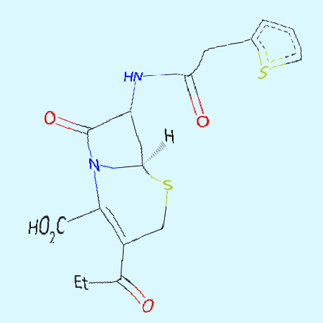 CCC(=O)C1=C(C(=O)O)N2C(=O)C(NC(=O)Cc3cccs3)[C@H]2SC1